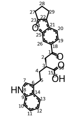 O=C(C[C@H](CCc1c[nH]c2ccccc12)C(=O)O)c1ccc2c3c(oc2c1)CCC3